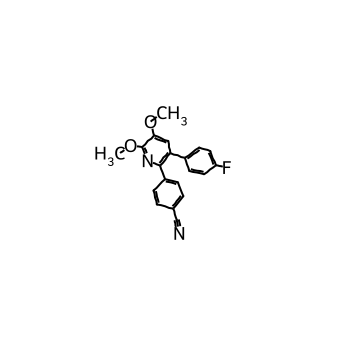 COc1cc(-c2ccc(F)cc2)c(-c2ccc(C#N)cc2)nc1OC